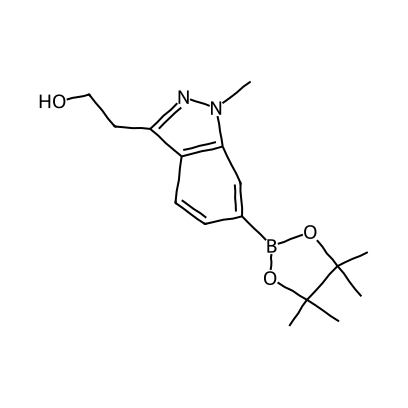 Cn1nc(CCO)c2ccc(B3OC(C)(C)C(C)(C)O3)cc21